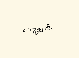 CCCSP(=O)(OCC)Sc1ccc(OS(=O)(=O)c2ccc(Cl)cc2C)cc1